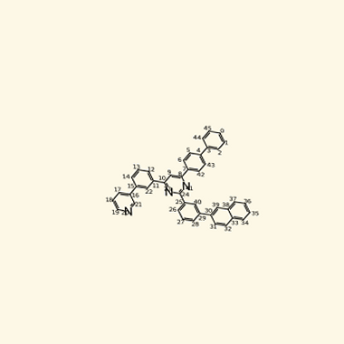 c1ccc(-c2ccc(-c3cc(-c4cccc(-c5cccnc5)c4)nc(-c4cccc(-c5ccc6ccccc6c5)c4)n3)cc2)cc1